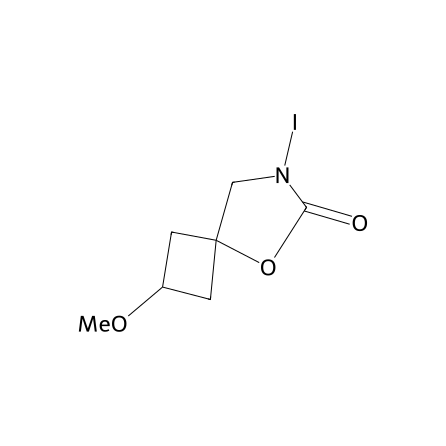 COC1CC2(C1)CN(I)C(=O)O2